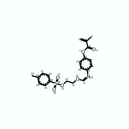 C=C(C)C(=O)Oc1ccc(/N=C\OCCOS(=O)(=O)c2ccc(C)cc2)cc1